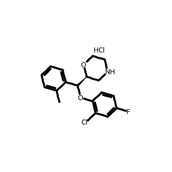 Cc1ccccc1C(Oc1ccc(F)cc1Cl)[C@@H]1CNCCO1.Cl